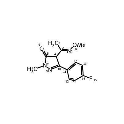 CON=C(C)C1C(=O)N(C)N=C1c1ccc(F)cc1